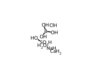 Cl.O.O=S(=O)(O)O.OB(O)O.[CaH2].[NaH]